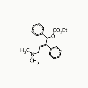 CCOC(=O)OC(/C(=C/CN(C)C)c1ccccc1)c1ccccc1